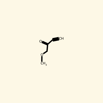 C#CC(=O)COC